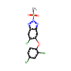 CS(=O)(=O)n1nc2cc(Cl)c(Oc3ccc(Br)cc3Br)cc2n1